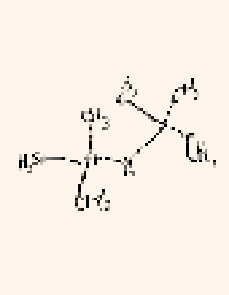 CC(C)(C)[NH][Ti]([CH3])([CH3])[SiH3]